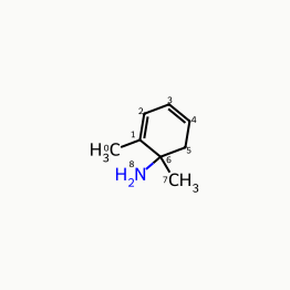 CC1=CC=CCC1(C)N